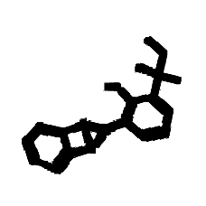 CCC(C)(C)c1cccc(-n2n3c4ccccc4n23)c1O